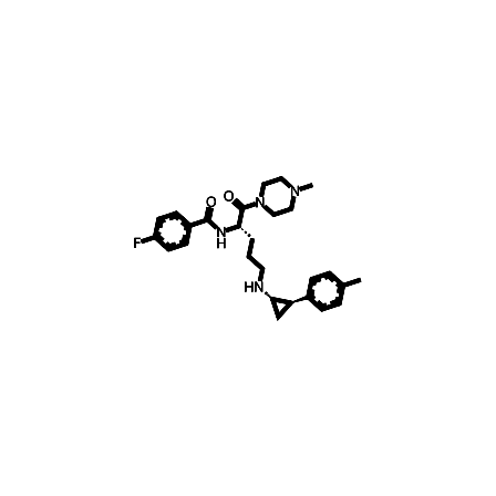 Cc1ccc([C@H]2C[C@@H]2NCCC[C@H](NC(=O)c2ccc(F)cc2)C(=O)N2CCN(C)CC2)cc1